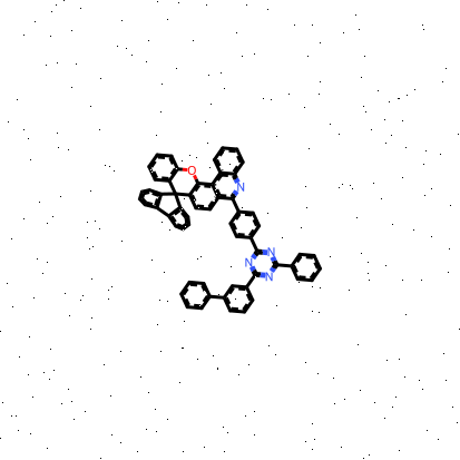 c1ccc(-c2cccc(-c3nc(-c4ccccc4)nc(-c4ccc(-c5nc6ccccc6c6c7c(ccc56)C5(c6ccccc6O7)c6ccccc6-c6ccccc65)cc4)n3)c2)cc1